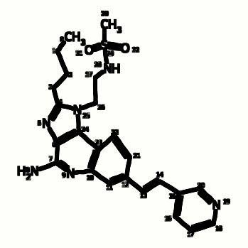 CCCCc1nc2c(N)nc3cc(/C=C/c4cccnc4)ccc3c2n1CCNS(C)(=O)=O